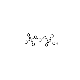 [O]=[Cr](=[O])([OH])[O]O[O][Cr](=[O])(=[O])[OH]